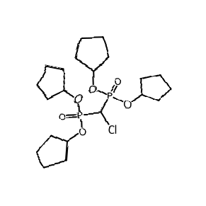 O=P(OC1CCCC1)(OC1CCCC1)C(Cl)P(=O)(OC1CCCC1)OC1CCCC1